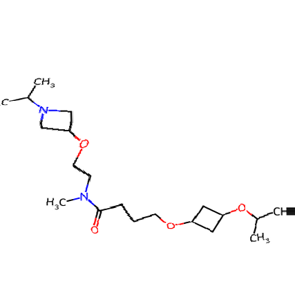 CC(C)OC1CC(OCCCC(=O)N(C)CCOC2CN(C(C)C)C2)C1